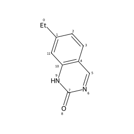 CCc1ccc2cnc(=O)[nH]c2c1